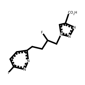 O=C(O)c1cn(CC(F)CCc2ccc(I)nn2)nn1